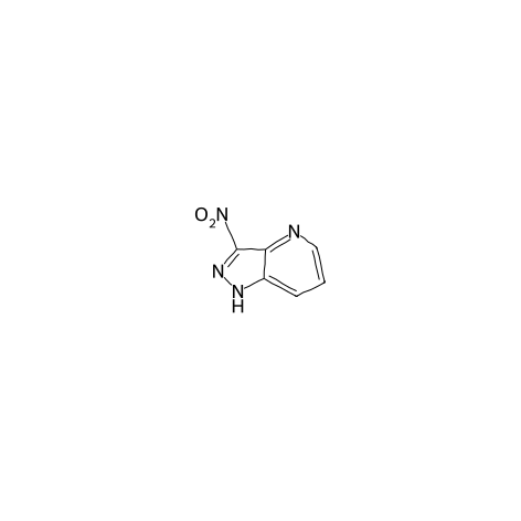 O=[N+]([O-])c1n[nH]c2cccnc12